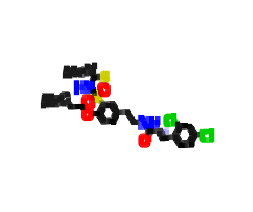 CNC(=S)NS(=O)(=O)c1cc(CCNC(=O)/C=C/c2ccc(Cl)cc2Cl)ccc1OCCOC